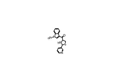 CCCn1cc(C(=O)C2CSC(c3cccnc3)N2)c2ccccc21